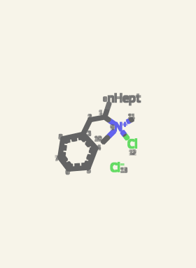 CCCCCCCC(Cc1ccccc1)[N+](C)(C)Cl.[Cl-]